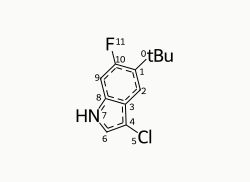 CC(C)(C)c1cc2c(Cl)c[nH]c2cc1F